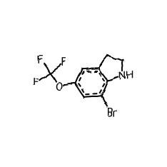 FC(F)(F)Oc1cc(Br)c2c(c1)CCN2